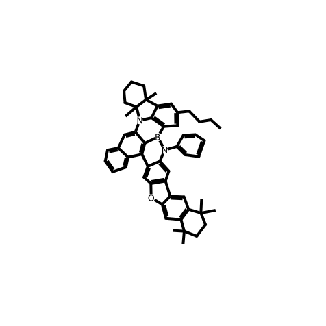 CCCCc1cc2c3c(c1)C1(C)CCCCC1(C)N3c1cc3ccccc3c3c1B2N(c1ccccc1)c1cc2c(cc1-3)oc1cc3c(cc12)C(C)(C)CCC3(C)C